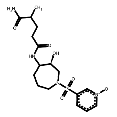 CC(C[CH]C(=O)NC1CCCN(S(=O)(=O)c2ccc[n+]([O-])c2)C[C@@H]1O)C(N)=O